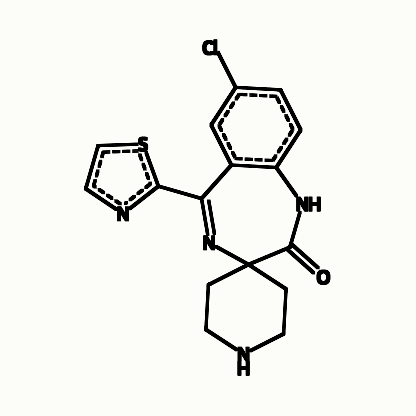 O=C1Nc2ccc(Cl)cc2C(c2nccs2)=NC12CCNCC2